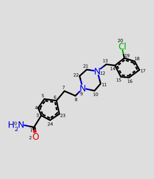 NC(=O)c1ccc(CCN2CCN(Cc3ccccc3Cl)CC2)cc1